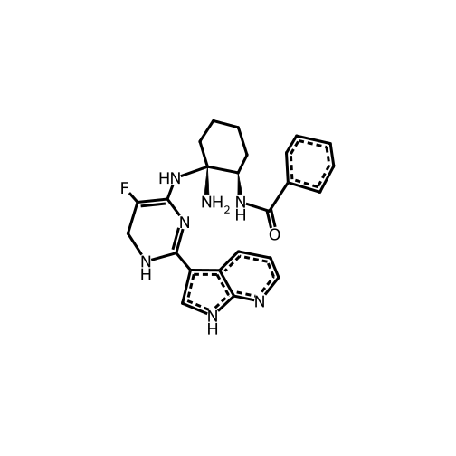 N[C@@]1(NC2=C(F)CNC(c3c[nH]c4ncccc34)=N2)CCCC[C@H]1NC(=O)c1ccccc1